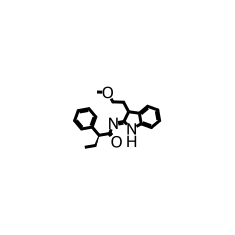 CC[C@H](C(=O)N=C1Nc2ccccc2C1CCOC)c1ccccc1